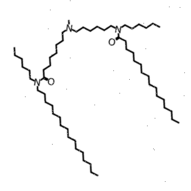 CCCCCCCCCCCCCCCCN(CCCCCC)C(=O)CCCCCCCN(C)CCCCCCN(CCCCCC)C(=O)CCCCCCCCCCCCCCC